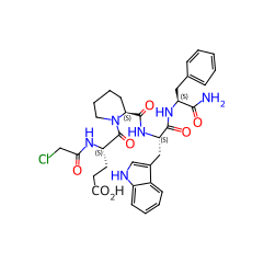 NC(=O)[C@H](Cc1ccccc1)NC(=O)[C@H](Cc1c[nH]c2ccccc12)NC(=O)[C@@H]1CCCCN1C(=O)[C@H](CCC(=O)O)NC(=O)CCl